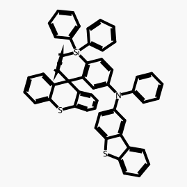 c1ccc(N(c2ccc3c(c2)C2(c4ccccc4Sc4ccccc42)c2ccccc2[Si]3(c2ccccc2)c2ccccc2)c2ccc3sc4ccccc4c3c2)cc1